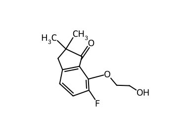 CC1(C)Cc2ccc(F)c(OCCO)c2C1=O